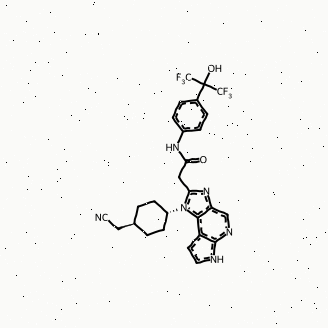 N#CC[C@H]1CC[C@H](n2c(CC(=O)Nc3ccc(C(O)(C(F)(F)F)C(F)(F)F)cc3)nc3cnc4[nH]ccc4c32)CC1